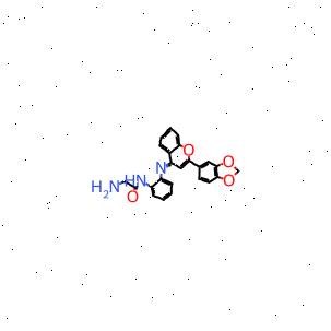 NCC(=O)Nc1ccccc1N=c1cc(-c2ccc3c(c2)OCO3)oc2ccccc12